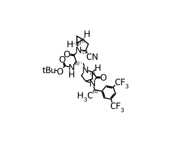 C[C@@H](c1cc(C(F)(F)F)cc(C(F)(F)F)c1)N1C(=O)[C@@H]2CC1CN2C[C@H](NC(=O)OC(C)(C)C)C(=O)N1[C@H](C#N)C[C@@H]2C[C@@H]21